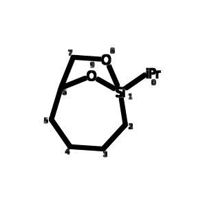 CC(C)[Si]12CCCCC(CO1)O2